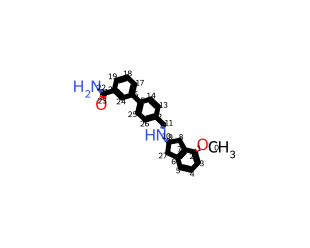 COc1cccc2c1CC(NCc1ccc(-c3cccc(C(N)=O)c3)cc1)C2